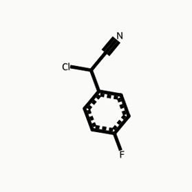 N#CC(Cl)c1ccc(F)cc1